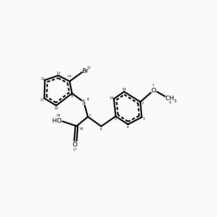 COc1ccc(CC(Sc2ccccc2Br)C(=O)O)cc1